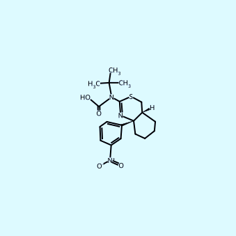 CC(C)(C)N(C(=O)O)C1=N[C@@]2(c3cccc([N+](=O)[O-])c3)CCCC[C@H]2CS1